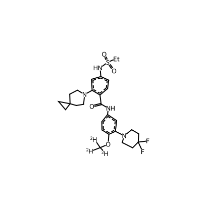 [2H]C([2H])([2H])Oc1ccc(NC(=O)c2ccc(NS(=O)(=O)CC)cc2N2CCC3(CC2)CC3)cc1N1CCC(F)(F)CC1